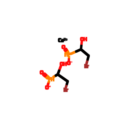 O=[PH]([O-])C(O)CBr.O=[PH]([O-])C(O)CBr.[Ca+2]